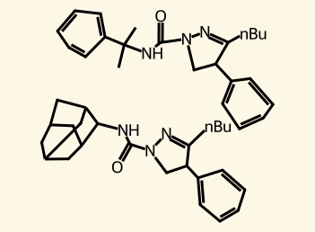 CCCCC1=NN(C(=O)NC(C)(C)c2ccccc2)CC1c1ccccc1.CCCCC1=NN(C(=O)NC2C3CC4CC(C3)CC2C4)CC1c1ccccc1